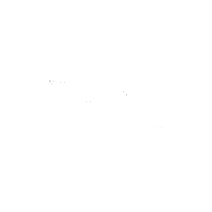 CCOc1nc(CO)cc(C2CC2)c1OCOC